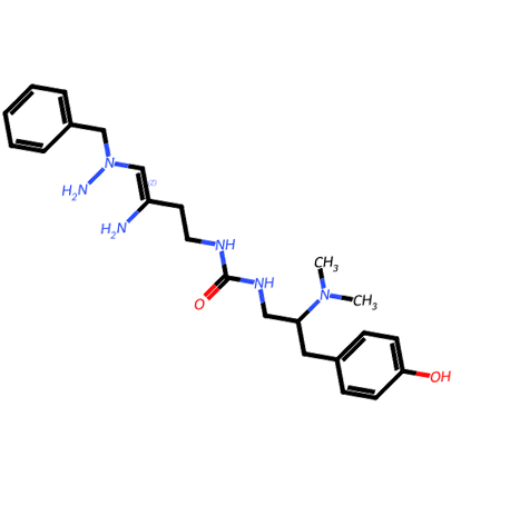 CN(C)C(CNC(=O)NCC/C(N)=C/N(N)Cc1ccccc1)Cc1ccc(O)cc1